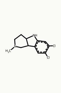 CN1CCC2Nc3cc(Cl)c(Cl)cc3C2C1